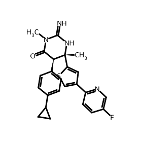 CN1C(=N)N[C@](C)(c2cc(-c3ccc(F)cn3)cs2)[C@@H](c2ccc(C3CC3)cc2)C1=O